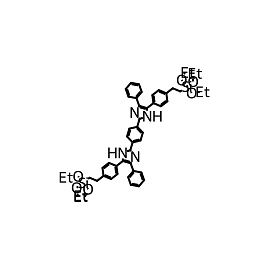 CCO[Si](CCc1ccc(-c2[nH]c(-c3ccc(-c4nc(-c5ccccc5)c(-c5ccc(CC[Si](OCC)(OCC)OCC)cc5)[nH]4)cc3)nc2-c2ccccc2)cc1)(OCC)OCC